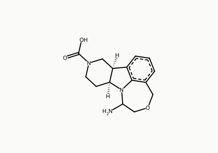 NC1COCc2cccc3c2N1[C@H]1CCN(C(=O)O)C[C@@H]31